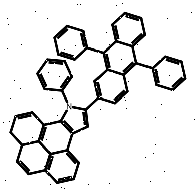 C1=Cc2c3c4c(cccc4c4cc(-c5ccc6c(-c7ccccc7)c7ccccc7c(-c7ccccc7)c6c5)n(-c5ccccc5)c24)C=CC3C1